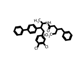 CC(NC(=O)CC(CC(=O)O)Cc1ccccc1)C(Cc1ccc(Cl)c(Cl)c1)c1ccc(-c2ccccc2)cc1